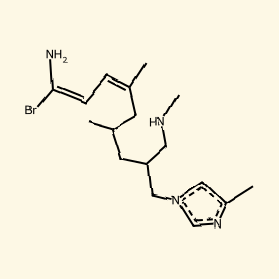 CNCC(CC(C)C/C(C)=C\C=C(/N)Br)Cn1cnc(C)c1